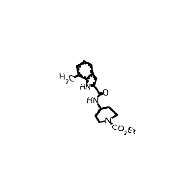 CCOC(=O)N1CCC(NC(=O)c2cc3cccc(C)c3[nH]2)CC1